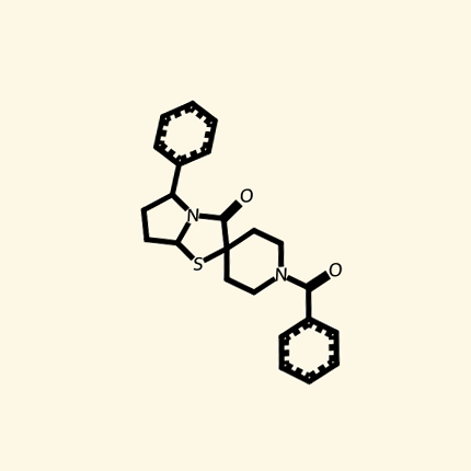 O=C(c1ccccc1)N1CCC2(CC1)SC1CCC(c3ccccc3)N1C2=O